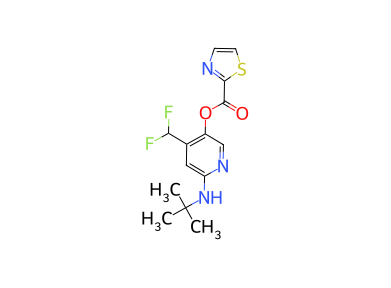 CC(C)(C)Nc1cc(C(F)F)c(OC(=O)c2nccs2)cn1